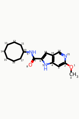 COc1cc2[nH]c(C(=O)NC3CCCCCCC3)cc2cn1